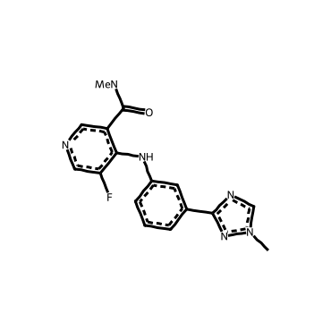 CNC(=O)c1cncc(F)c1Nc1cccc(-c2ncn(C)n2)c1